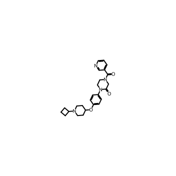 O=C(c1cccnc1)N1CCN(c2ccc(OC3CCN(C4CCC4)CC3)cc2)C(=O)C1